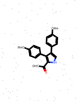 COc1ccc(-c2c[nH]c(C(=O)C=O)c2-c2ccc(OC)cc2)cc1